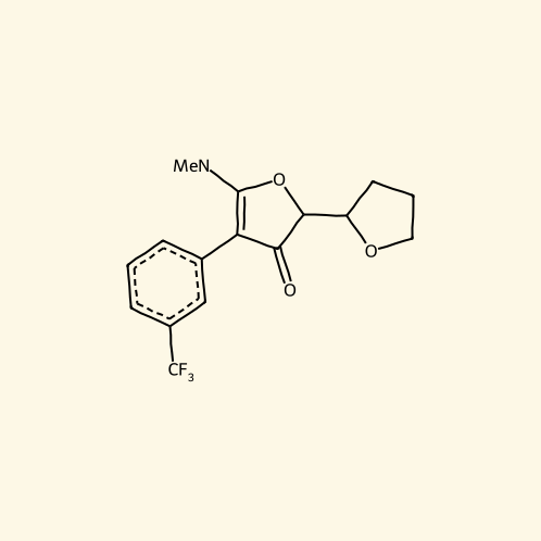 CNC1=C(c2cccc(C(F)(F)F)c2)C(=O)C(C2CCCO2)O1